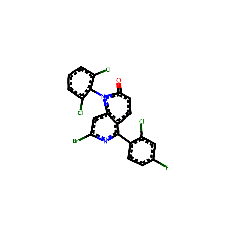 O=c1ccc2c(-c3ccc(F)cc3Cl)nc(Br)cc2n1-c1c(Cl)cccc1Cl